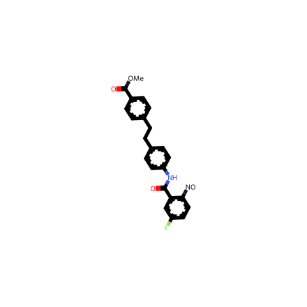 COC(=O)c1ccc(CCc2ccc(NC(=O)c3cc(F)ccc3N=O)cc2)cc1